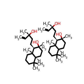 C=C[C@](C)(O)CC[C@@H]1[C@@]2(C)CCCC(C)(C)[C@@H]2CC[C@@]1(C)O.C=C[C@](C)(O)CC[C@@H]1[C@@]2(C)CCCC(C)(C)[C@@H]2CC[C@@]1(C)O